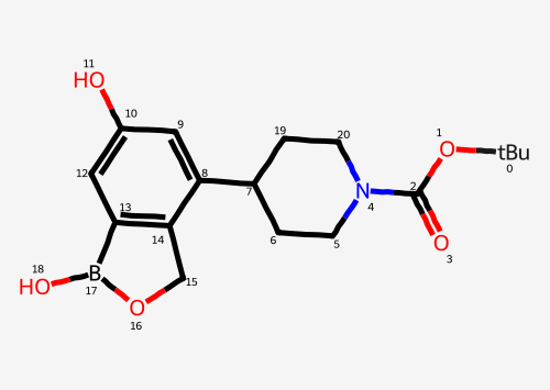 CC(C)(C)OC(=O)N1CCC(c2cc(O)cc3c2COB3O)CC1